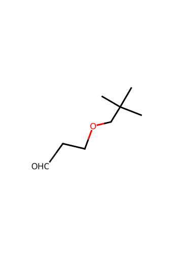 CC(C)(C)COCCC=O